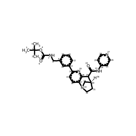 CC(C)(C)OC(=O)NCc1cccc(-c2ccc3c(n2)C(C(=O)Nc2ccncc2)[C@H]2CCN3C2)c1